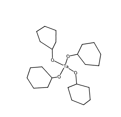 C1CCC([O][Ta]([O]C2CCCCC2)([O]C2CCCCC2)[O]C2CCCCC2)CC1